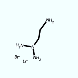 NCCN(N)N.[Br-].[Li+]